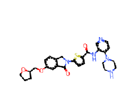 O=C(Nc1cnccc1N1CCNCC1)c1ccc(N2Cc3ccc(OCC4CCCO4)cc3C2=O)s1